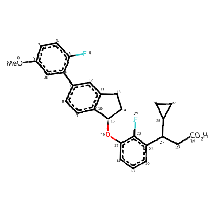 COc1ccc(F)c(-c2ccc3c(c2)CC[C@H]3Oc2cccc(C(CC(=O)O)C3CC3)c2F)c1